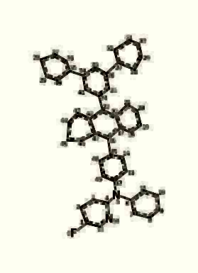 Fc1ccc(N(c2ccccc2)c2ccc(-c3c4ccccc4c(-c4cc(-c5ccccc5)cc(-c5ccccc5)c4)c4ccccc34)cc2)nc1